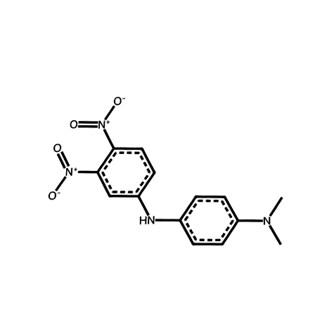 CN(C)c1ccc(Nc2ccc([N+](=O)[O-])c([N+](=O)[O-])c2)cc1